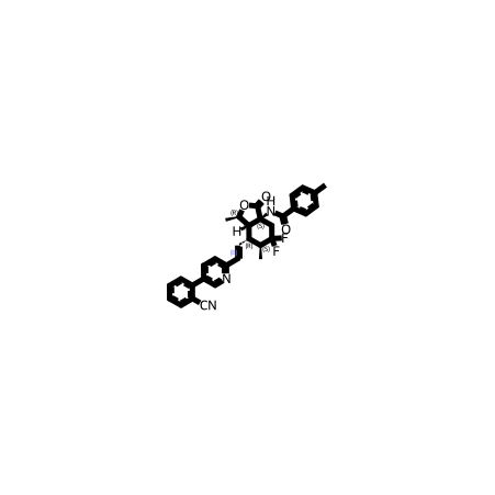 Cc1ccc(C(=O)N[C@@]23CC(F)(F)[C@@H](C)[C@H](/C=C/c4ccc(-c5ccccc5C#N)cn4)[C@@H]2[C@@H](C)OC3=O)cc1